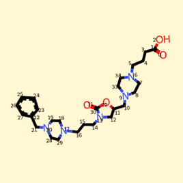 O=C(O)CCCN1CCN(CC2CN(CCCN3CCN(Cc4ccccc4)CC3)C(=O)O2)CC1